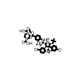 COc1cc(C(=O)OC(C)[N+]2(C(=O)O)CCN(C(=O)O)CC2)ccc1NC(=O)[C@@H]1N[C@@H](CC(C)(C)C)[C@](C#N)(c2ccc(Cl)cc2F)[C@H]1c1cccc(Cl)c1F